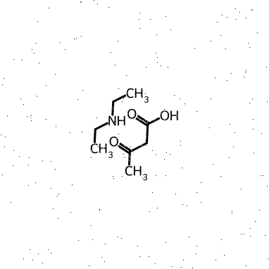 CC(=O)CC(=O)O.CCNCC